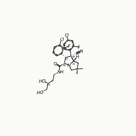 CC1(C)C[C@@H]2N(C1)[C@@H](C(=O)NCC[C@H](O)CO)[C@H](c1cccc(Cl)c1F)[C@@]2(C#N)c1ccc(Cl)cc1F